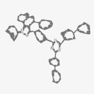 c1ccc(-c2ccc(-c3nc(-c4ccc(-c5ccccc5)cc4)nc(-c4ccc(-c5nn(-c6ccccc6)c6c5c(-c5ccccc5)cc5ccccc56)cc4)n3)cc2)cc1